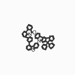 O=c1c2ccccc2c2cccc3c4cc(-c5cccc6oc7ccc(-n8c9ccccc9c9cc%10c(cc98)C(c8ccccc8)(c8ccccc8)c8ccccc8-%10)cc7c56)ccc4n1c23